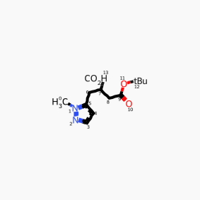 Cn1nccc1CC(CC(=O)OC(C)(C)C)C(=O)O